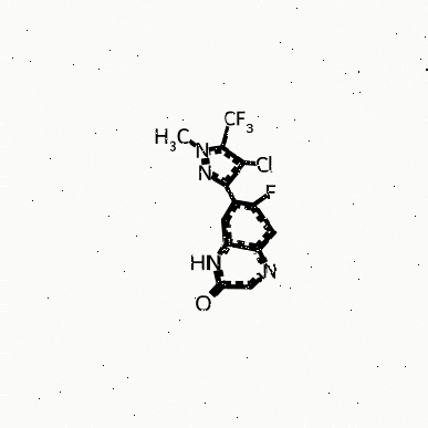 Cn1nc(-c2cc3[nH]c(=O)cnc3cc2F)c(Cl)c1C(F)(F)F